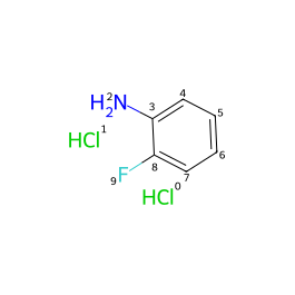 Cl.Cl.Nc1ccccc1F